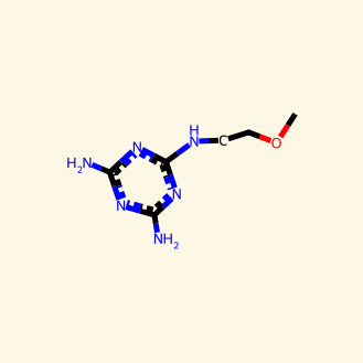 COCCNc1nc(N)nc(N)n1